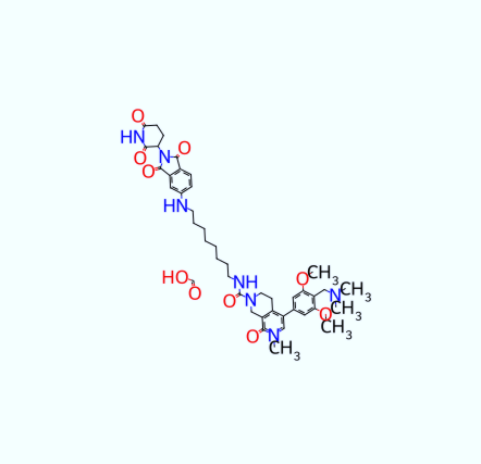 COc1cc(-c2cn(C)c(=O)c3c2CCN(C(=O)NCCCCCCCCNc2ccc4c(c2)C(=O)N(C2CCC(=O)NC2=O)C4=O)C3)cc(OC)c1CN(C)C.O=CO